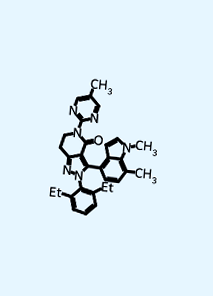 CCc1cccc(CC)c1-n1nc2c(c1-c1ccc(C)c3c1ccn3C)C(=O)N(c1ncc(C)cn1)CC2